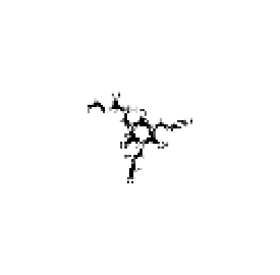 O=C=NCn1c(=O)n(CN=C=O)c(=O)n(CNC(=O)OCF)c1=O